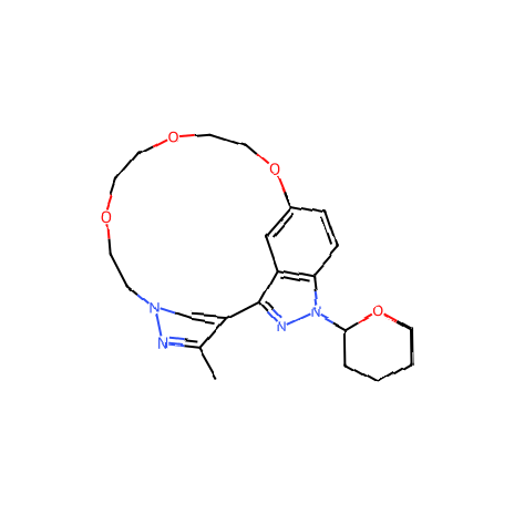 Cc1nn2cc1-c1nn(C3CCCCO3)c3ccc(cc13)OCCOCCOCC2